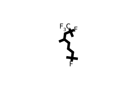 CC(CCCC(C)(C)F)CC(C)(F)C(F)(F)F